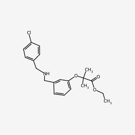 CCOC(=O)C(C)(C)Oc1cccc(CNCc2ccc(Cl)cc2)c1